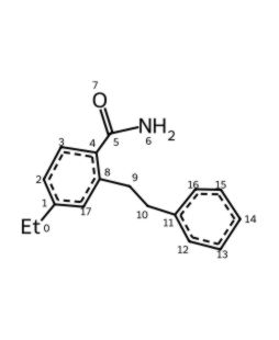 CCc1ccc(C(N)=O)c(CCc2ccccc2)c1